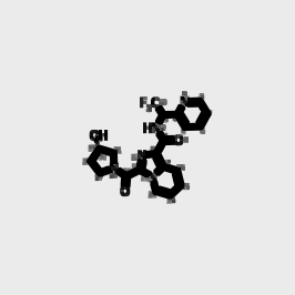 O=C(NC(c1ccccn1)C(F)(F)F)c1nc(C(=O)N2CC[C@H](O)C2)n2ccccc12